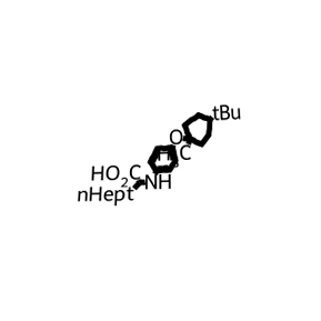 CCCCCCCC(Nc1ccc(OC2(C)CCC(C(C)(C)C)CC2)cc1)C(=O)O